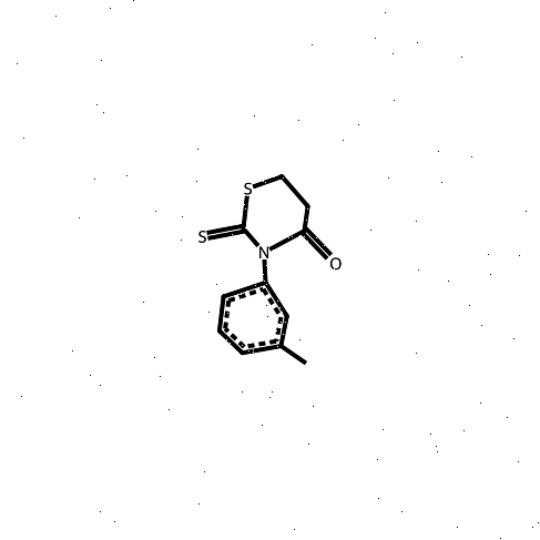 Cc1cccc(N2C(=O)CCSC2=S)c1